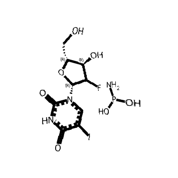 NP(O)O.O=c1[nH]c(=O)n([C@@H]2O[C@H](CO)[C@@H](O)C2F)cc1I